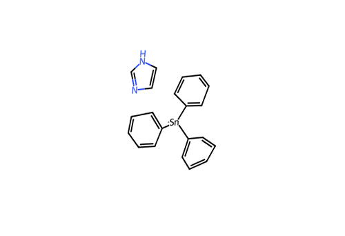 c1c[nH]cn1.c1cc[c]([Sn]([c]2ccccc2)[c]2ccccc2)cc1